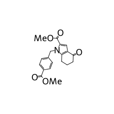 COC(=O)c1ccc(Cn2c(C(=O)OC)cc3c2CCCC3=O)cc1